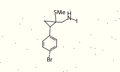 CSC1(CNI)CC1c1ccc(Br)cc1